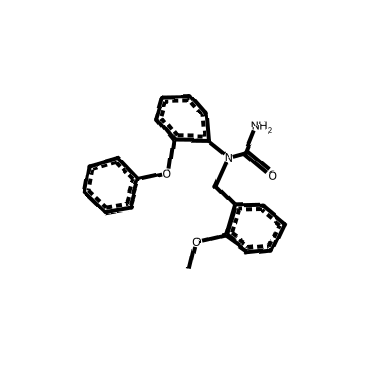 COc1ccccc1CN(C(N)=O)c1ccccc1Oc1ccccc1